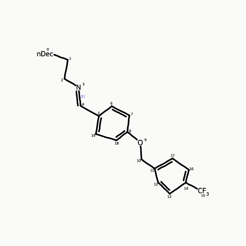 CCCCCCCCCCCC/N=C/c1ccc(OCc2ccc(C(F)(F)F)cc2)cc1